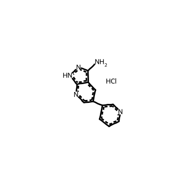 Cl.Nc1n[nH]c2ncc(-c3cccnc3)cc12